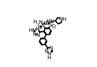 NS(=O)(=O)c1c(S(=O)(=O)NC2CCNC2)ccc(-c2cccc(-c3nc[nH]n3)c2)c1-c1nn[nH]n1